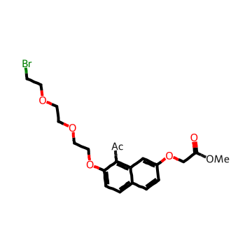 COC(=O)COc1ccc2ccc(OCCOCCOCCBr)c(C(C)=O)c2c1